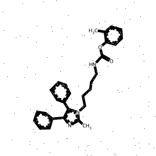 Cc1ccccc1OC(=O)NCCCCCn1c(C)nc(-c2ccccc2)c1-c1ccccc1